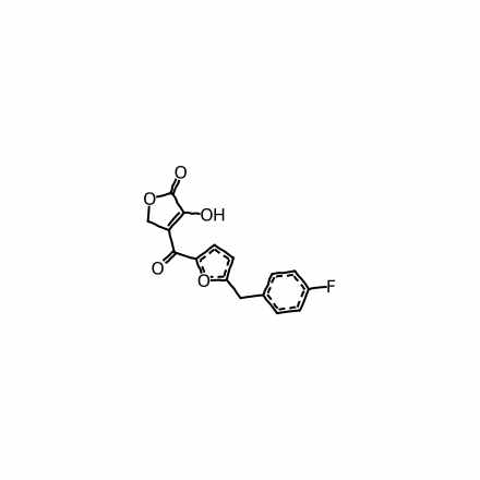 O=C1OCC(C(=O)c2ccc(Cc3ccc(F)cc3)o2)=C1O